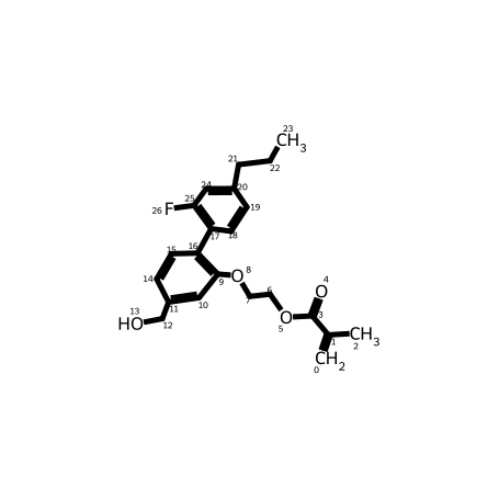 C=C(C)C(=O)OCCOc1cc(CO)ccc1-c1ccc(CCC)cc1F